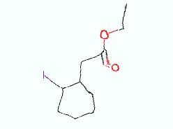 CCOC(=O)CC1CCCCC1I